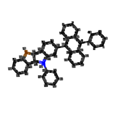 c1ccc(-c2c3ccccc3c(-c3ccc4c5sc6ccccc6c5n(-c5ccccc5)c4c3)c3ccccc23)cc1